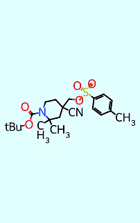 Cc1ccc(S(=O)(=O)OCC2(C#N)CCN(C(=O)OC(C)(C)C)C(C)(C)C2)cc1